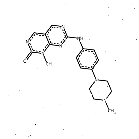 CN1CCN(c2ccc(Nc3ncc4cnc(=O)n(C)c4n3)cc2)CC1